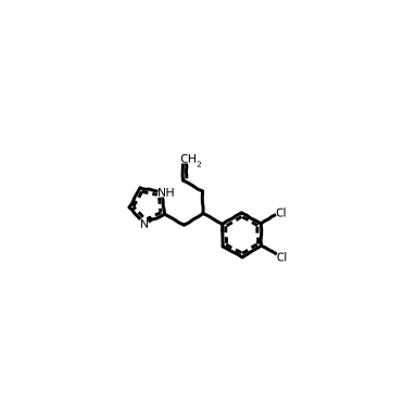 C=CCC(Cc1ncc[nH]1)c1ccc(Cl)c(Cl)c1